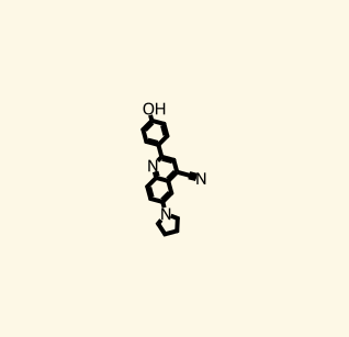 N#Cc1cc(-c2ccc(O)cc2)nc2ccc(N3CCCC3)cc12